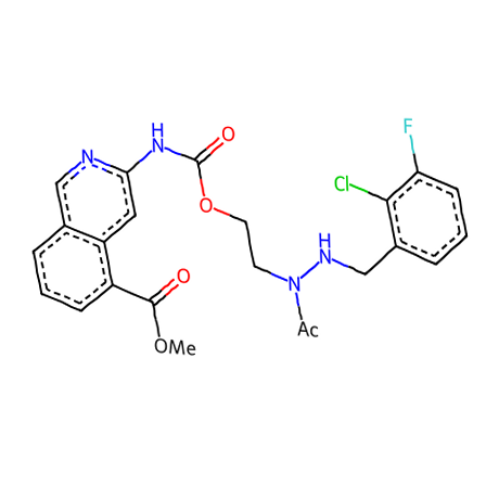 COC(=O)c1cccc2cnc(NC(=O)OCCN(NCc3cccc(F)c3Cl)C(C)=O)cc12